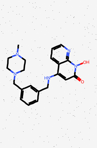 CN1CCN(Cc2cccc(CNc3cc(=O)n(O)c4ncccc34)c2)CC1